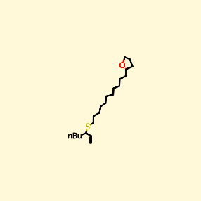 C=CC(CCCC)SCCCCCCCCCCCC1CCCO1